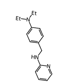 CCN(CC)c1ccc(CNc2ccccn2)cc1